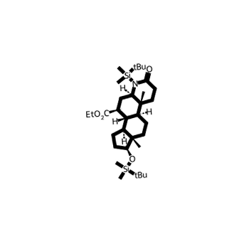 CCOC(=O)[C@H]1C[C@H]2N([Si](C)(C)C(C)(C)C)C(=O)CC[C@]2(C)[C@H]2CC[C@]3(C)[C@@H](O[Si](C)(C)C(C)(C)C)CC[C@H]3[C@H]12